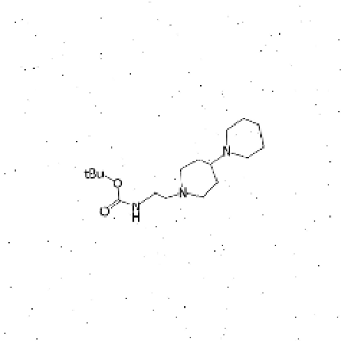 CC(C)(C)OC(=O)NCCN1CCC(N2CCCCC2)CC1